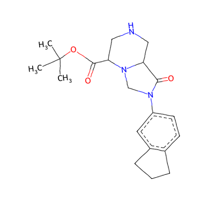 CC(C)(C)OC(=O)C1CNCC2C(=O)N(c3ccc4c(c3)CCC4)CN12